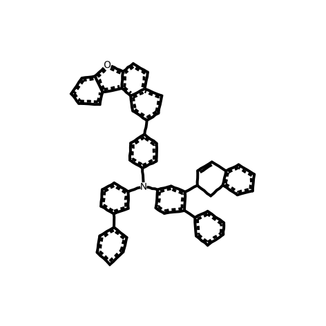 C1=CC(c2cc(N(c3ccc(-c4ccc5ccc6oc7ccccc7c6c5c4)cc3)c3cccc(-c4ccccc4)c3)ccc2-c2ccccc2)Cc2ccccc21